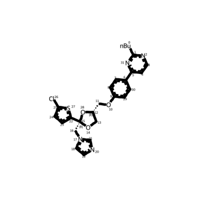 CCCCc1nccc(-c2ccc(OC[C@@H]3CO[C@@](Cn4ccnc4)(c4ccc(Cl)s4)O3)cc2)n1